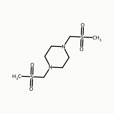 CS(=O)(=O)CN1CCN(CS(C)(=O)=O)CC1